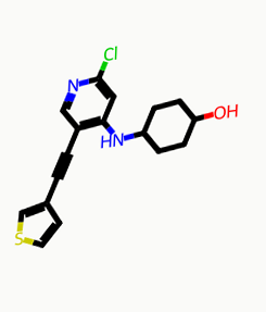 OC1CCC(Nc2cc(Cl)ncc2C#Cc2ccsc2)CC1